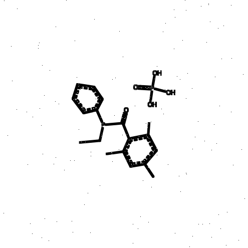 CCP(C(=O)c1c(C)cc(C)cc1C)c1ccccc1.O=P(O)(O)O